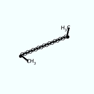 CCCCCCCCCc1ccccc1OCCOCCOCCOCCOCCOCCOCCOCCOCCOCCOCCOCCOCCOCCOCCOCCOc1ccccc1CCCCCCCCC